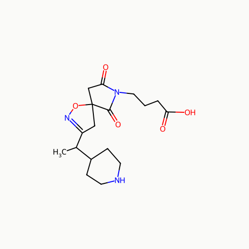 CC(C1=NOC2(CC(=O)N(CCCC(=O)O)C2=O)C1)C1CCNCC1